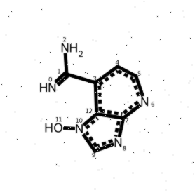 N=C(N)c1ccnc2ncn(O)c12